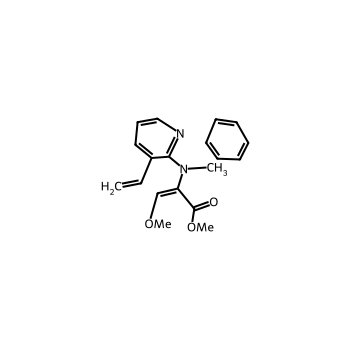 C=Cc1cccnc1N(C)C(=COC)C(=O)OC.c1ccccc1